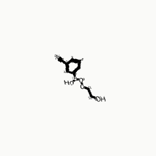 N#Cc1cccc(B(O)OOCCO)c1